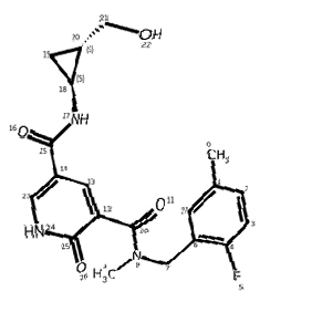 Cc1ccc(F)c(CN(C)C(=O)c2cc(C(=O)N[C@H]3C[C@@H]3CO)c[nH]c2=O)c1